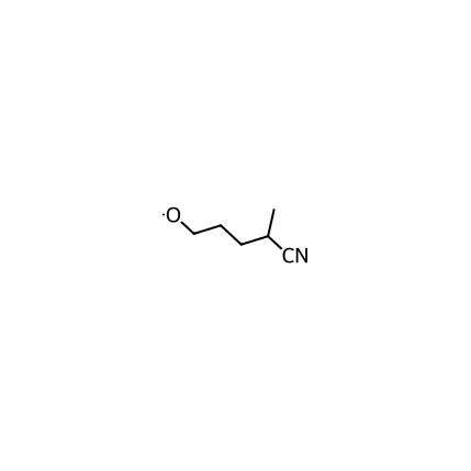 CC(C#N)CCC[O]